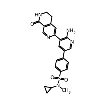 CN(C1CC1)S(=O)(=O)c1ccc(-c2cnc(N)c(-c3cc4c(cn3)C(=O)NCC4)c2)cc1